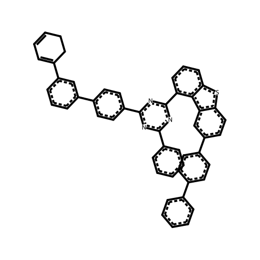 C1=CCCC(c2cccc(-c3ccc(-c4nc(-c5ccccc5)nc(-c5cccc6sc7ccc(-c8ccc(-c9ccccc9)cc8)cc7c56)n4)cc3)c2)=C1